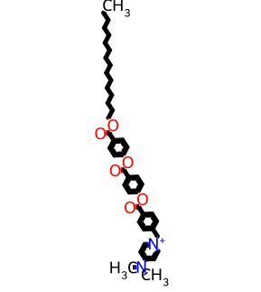 CCCCCCCCCCCCCCCCOC(=O)c1ccc(OC(=O)c2ccc(OC(=O)c3ccc(C[n+]4ccc(N(C)C)cc4)cc3)cc2)cc1